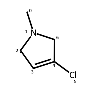 CN1[CH]C=C(Cl)C1